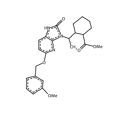 COC(=O)C1CCCCC1C(C)n1c(=O)[nH]c2ccc(OCc3cccc(OC)c3)nc21